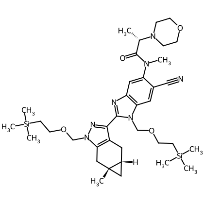 C[C@@H](C(=O)N(C)c1cc2nc(-c3nn(COCC[Si](C)(C)C)c4c3C[C@@H]3C[C@]3(C)C4)n(COCC[Si](C)(C)C)c2cc1C#N)N1CCOCC1